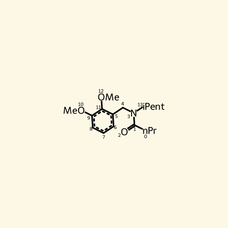 CCCC(=O)N(Cc1cccc(OC)c1OC)C(C)CCC